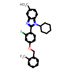 O=C(O)c1ccc2c(c1)nc(-c1ccc(OCc3ccccc3C(F)(F)F)cc1F)n2C1CCCCC1